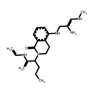 C=CNC(=C)C(CCC)N1CCc2c(NC/C(N)=C/NC)cccc2C1=O